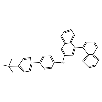 CC(C)(C)c1ccc(-c2ccc(Nc3cc(-c4cccc5ccccc45)c4ccccc4c3)cc2)cc1